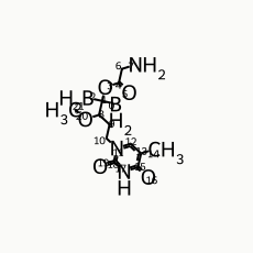 BC(B)(OC(=O)CN)C(CCn1cc(C)c(=O)[nH]c1=O)OC